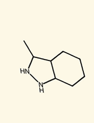 CC1NNC2CCCCC12